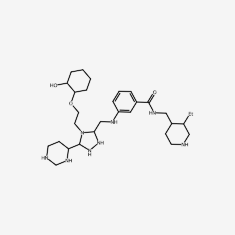 CCC1CNCCC1CNC(=O)c1cccc(NCC2NNC(C3CCNCN3)N2CCOC2CCCCC2O)c1